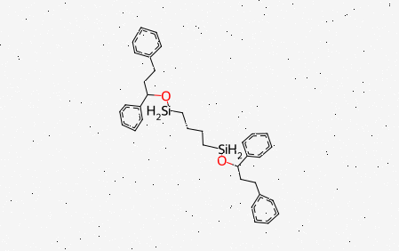 c1ccc(CCC(O[SiH2]CCCC[SiH2]OC(CCc2ccccc2)c2ccccc2)c2ccccc2)cc1